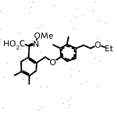 CCOCCc1ccc(OCC2=C(C(=NOC)C(=O)O)CC(C)=C(C)C2)c(C)c1C